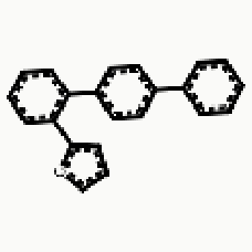 c1ccc(-c2ccc(-c3ccccc3-c3ccco3)cc2)cc1